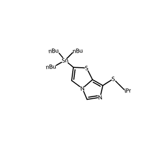 CCC[CH2][Sn]([CH2]CCC)([CH2]CCC)[c]1cn2cnc(SC(C)C)c2s1